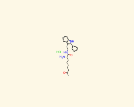 CC(=O)CCCCC[C@H](N)C(=O)NCCc1c(-c2ccccc2)[nH]c2ccccc12.Cl